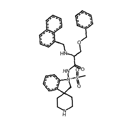 CS(=O)(=O)[N+]1(NC(=O)C(COCc2ccccc2)NCc2cccc3ccccc23)CC2(CCNCC2)c2ccccc21